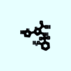 Cc1ccccc1S(=O)(=O)Nc1cc(-c2cc[nH]n2)sc1C(=O)O